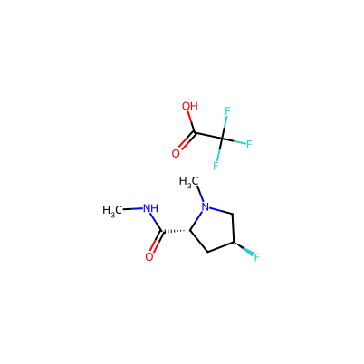 CNC(=O)[C@H]1C[C@H](F)CN1C.O=C(O)C(F)(F)F